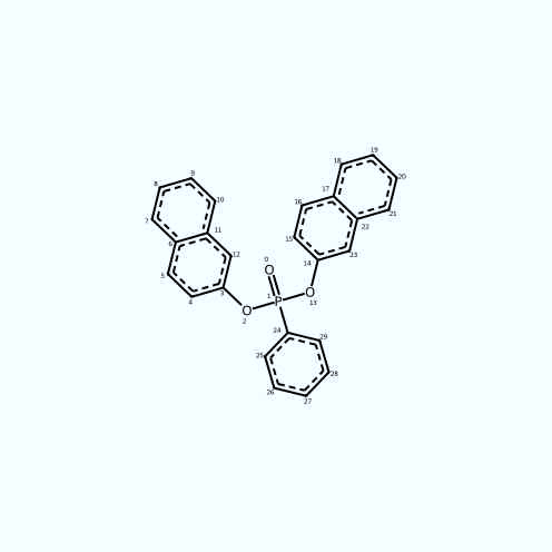 O=P(Oc1ccc2ccccc2c1)(Oc1ccc2ccccc2c1)c1ccccc1